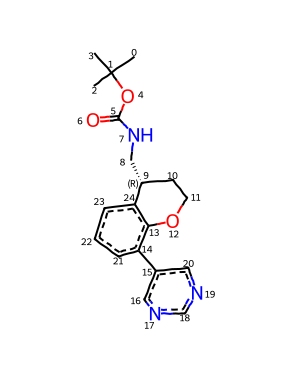 CC(C)(C)OC(=O)NC[C@@H]1CCOc2c(-c3cncnc3)cccc21